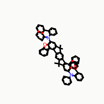 CC1(C)c2cc3c(cc2-c2c1cc(N(c1ccccc1)c1ccccc1-c1ccccc1)c1oc4ccccc4c21)C(C)(C)c1cc(N(c2ccccc2)c2ccccc2-c2ccccc2)c2oc4ccccc4c2c1-3